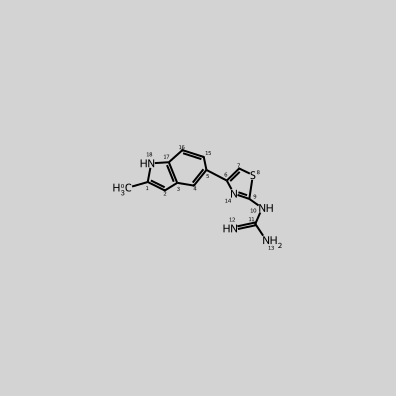 Cc1cc2cc(-c3csc(NC(=N)N)n3)ccc2[nH]1